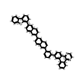 c1cc(-c2ccc3cc(-c4ccc5cc(-c6cccc7c6oc6ccccc67)ccc5c4)ccc3c2)cc(-c2ccc3c(c2)c2ccccc2c2nccnc32)c1